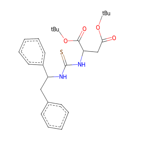 CC(C)(C)OC(=O)CC(NC(=S)NC(Cc1ccccc1)c1ccccc1)C(=O)OC(C)(C)C